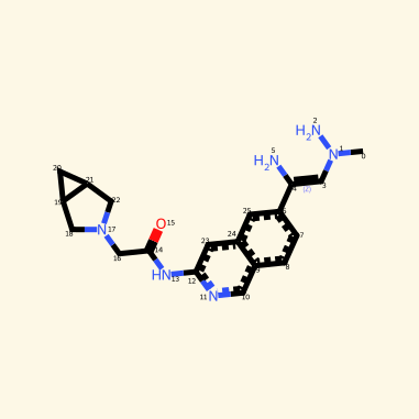 CN(N)/C=C(\N)c1ccc2cnc(NC(=O)CN3CC4CC4C3)cc2c1